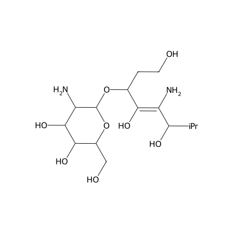 CC(C)C(O)/C(N)=C(\O)C(CCO)OC1OC(CO)C(O)C(O)C1N